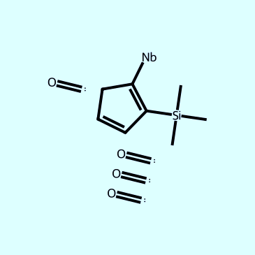 C[Si](C)(C)C1=[C]([Nb])CC=C1.[C]=O.[C]=O.[C]=O.[C]=O